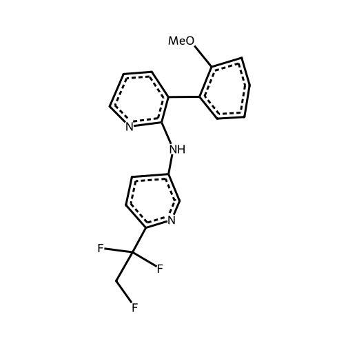 COc1ccccc1-c1cccnc1Nc1ccc(C(F)(F)CF)nc1